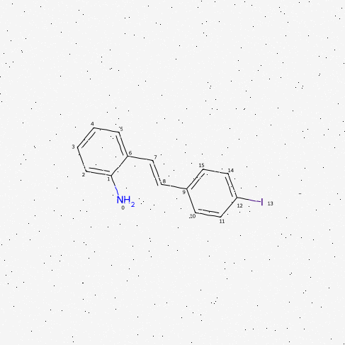 Nc1ccccc1C=Cc1ccc(I)cc1